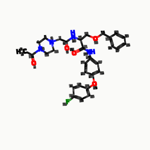 CC(=O)N1CCN(CC(=O)NC(COCc2ccccc2)C(=O)Nc2ccc(Oc3ccc(F)cc3)cc2)CC1